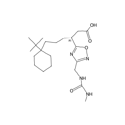 CNC(=O)NCc1noc([C@H](CCCC2(C(C)(C)C)CCCCC2)CC(=O)O)n1